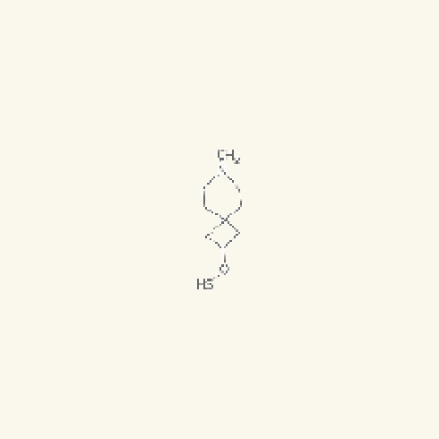 CN1CCC2(CC1)CC(OS)C2